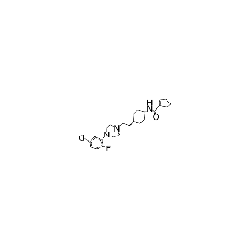 O=C(N[C@H]1CC[C@H](CCN2CCN(c3cc(Cl)ccc3F)CC2)CC1)C1=CCCC1